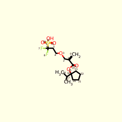 C=C(COCCC(F)(F)S(=O)(=O)O)C(=O)OC1(C(C)C)CCCC1